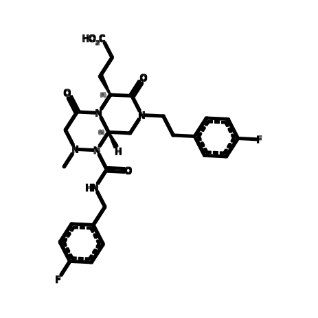 CN1CC(=O)N2[C@@H](CCC(=O)O)C(=O)N(CCc3ccc(F)cc3)C[C@@H]2N1C(=O)NCc1ccc(F)cc1